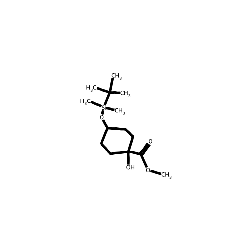 COC(=O)C1(O)CCC(O[Si](C)(C)C(C)(C)C)CC1